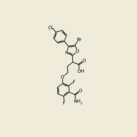 NC(=O)c1c(F)ccc(OCCC(C(=O)O)c2nc(-c3ccc(Cl)cc3)c(Br)o2)c1F